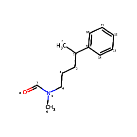 CC(CCCN(C)C=O)c1ccccc1